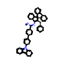 C=N/C(=N\C1=C(Cc2ccccc2)C2(c3ccccc31)c1ccccc1-c1ccccc12)c1ccc(-c2ccc(-n3c4ccccc4c4ccccc43)cc2)cc1